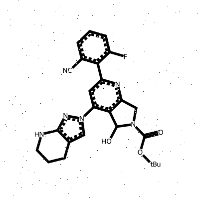 CC(C)(C)OC(=O)N1Cc2nc(-c3c(F)cccc3C#N)cc(-n3cc4c(n3)NCCC4)c2C1O